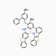 CC(C)(C)c1ccc(Cc2c(C(C)(C)C)cc3c4c2Nc2cc5sc6ccccc6c5cc2B4n2c4c-3cccc4c3sc4ccccc4c32)c(-c2ccccc2)c1